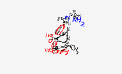 C[C@H]1C[B-](O)(O)Oc2c1ccc(OC1CN(CC3(N)CC3)C1)c2C(=O)O